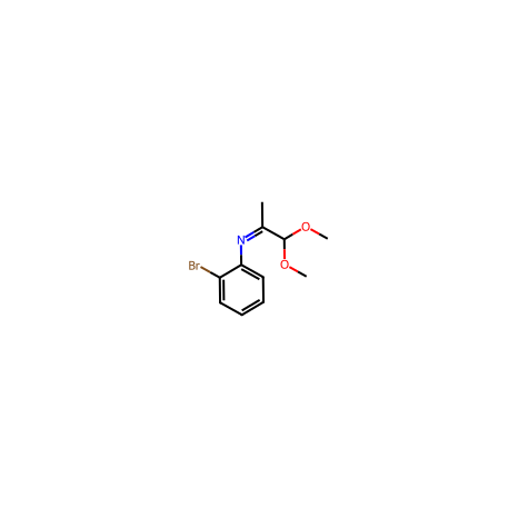 COC(OC)C(C)=Nc1ccccc1Br